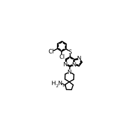 N[C@@H]1CCCC12CCN(c1ncc(Sc3cccc(Cl)c3Cl)c3nccn13)CC2